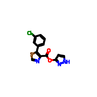 O=C(Oc1cc[nH]n1)c1ncsc1-c1cccc(Cl)c1